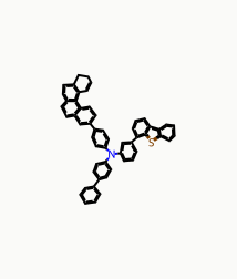 C1=Cc2c(ccc3ccc4cc(-c5ccc(N(c6ccc(-c7ccccc7)cc6)c6cccc(-c7cccc8c7sc7ccccc78)c6)cc5)ccc4c23)CC1